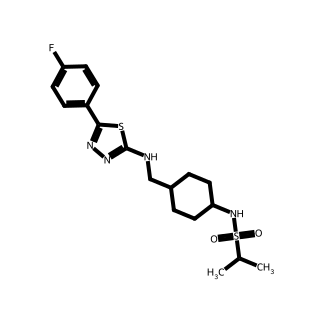 CC(C)S(=O)(=O)NC1CCC(CNc2nnc(-c3ccc(F)cc3)s2)CC1